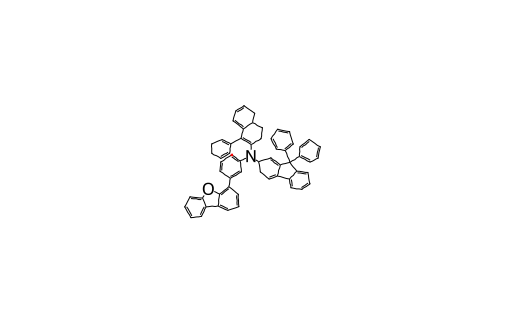 C1=CCC2CCC(N(c3cccc(-c4cccc5c4oc4ccccc45)c3)C3C=C4C(=CC3)c3ccccc3C4(c3ccccc3)c3ccccc3)=C(C3=CCCC=C3)C2=C1